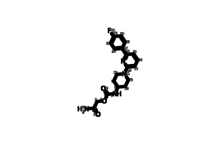 NC(=O)COC(=O)NC1CCN(c2cccc(-c3ccc(F)cc3)n2)CC1